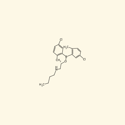 CCCCNCCOB(c1cc(Cl)ccc1C)c1cc(Cl)ccc1C